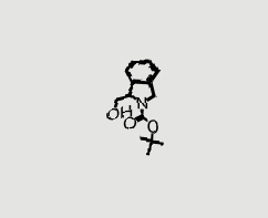 CC(C)(C)OC(=O)N1Cc2ccccc2C1CO